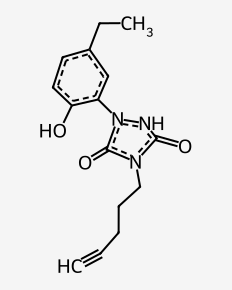 C#CCCCn1c(=O)[nH]n(-c2cc(CC)ccc2O)c1=O